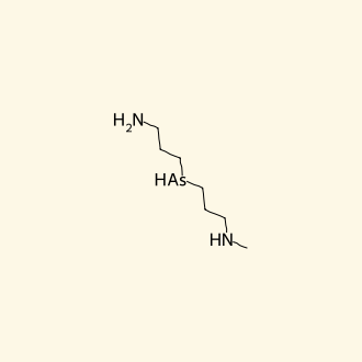 CNCCC[AsH]CCCN